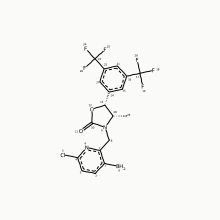 Bc1ccc(Cl)nc1CN1C(=O)O[C@H](c2cc(C(F)(F)F)cc(C(F)(F)F)c2)[C@@H]1C